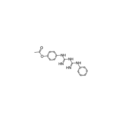 CC(=O)Oc1ccc(NC(=N)NC(=N)Nc2ccccc2)cc1